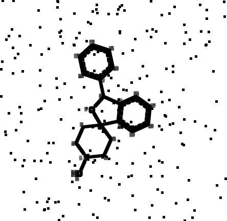 ON1CCC2(CC1)OC(c1ccccc1)c1ccccc12